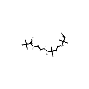 CC(C)(C=O)OCCC(C)(C)SSCCOC(=O)C(C)(C)C